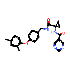 Cc1ccc(Oc2ccc(CNC(=O)C3(NC(=O)c4cncnc4)CC3)cc2)c(C)c1